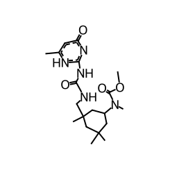 COC(=O)N(C)C1CC(C)(C)CC(C)(CNC(=O)Nc2nc(=O)cc(C)[nH]2)C1